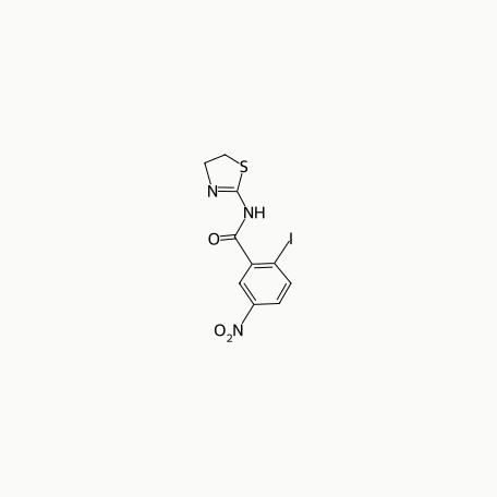 O=C(NC1=NCCS1)c1cc([N+](=O)[O-])ccc1I